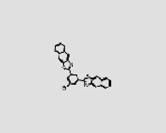 Brc1cc(-c2nc3cc4ccccc4cc3s2)cc(-c2nc3cc4ccccc4cc3s2)c1